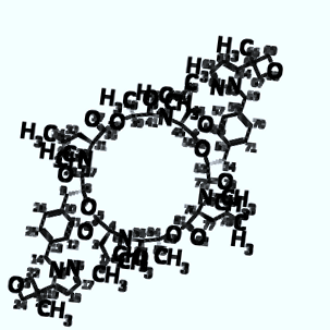 CC(C)C[C@H]1C(=O)O[C@H](Cc2ccc(Cn3nccc3C3(C)COC3)cc2)C(=O)N(C)[C@@H](CC(C)C)C(=O)O[C@H](C)C(=O)N(C)[C@@H](CC(C)C)C(=O)O[C@H](Cc2ccc(Cn3nccc3C3(C)COC3)cc2)C(=O)N(C)[C@@H](CC(C)C)C(=O)O[C@H](C)C(=O)N1C